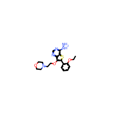 CCOc1ccccc1-c1sc2c(NN)ncnc2c1OCCN1CCOCC1